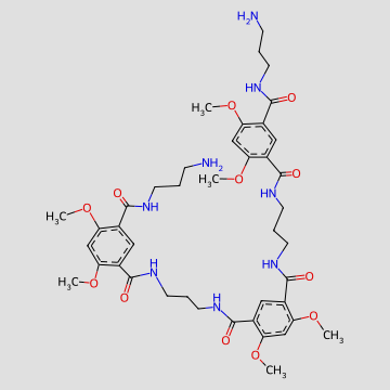 COc1cc(OC)c(C(=O)NCCCNC(=O)c2cc(C(=O)NCCCNC(=O)c3cc(C(=O)NCCCN)c(OC)cc3OC)c(OC)cc2OC)cc1C(=O)NCCCN